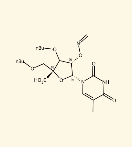 C=NO[C@H]1C(OCCCC)[C@](COCCCC)(C(=O)O)O[C@H]1n1cc(C)c(=O)[nH]c1=O